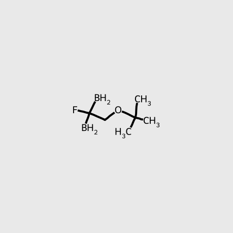 BC(B)(F)COC(C)(C)C